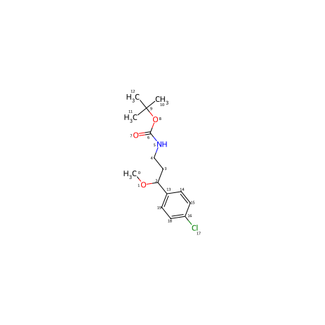 COC(CCNC(=O)OC(C)(C)C)c1ccc(Cl)cc1